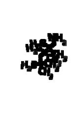 BC(C)(C)CC(C)(C)S(C)(C)CN